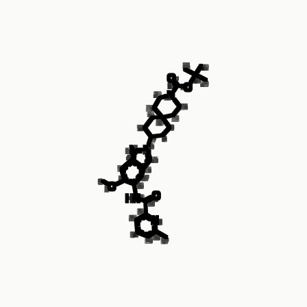 COc1cc2nn(C3CCC4(CC3)CCN(C(=O)OC(C)(C)C)CC4)cc2cc1NC(=O)c1cccc(C)n1